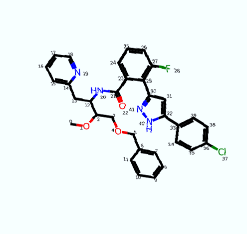 COC(COCc1ccccc1)C(Cc1ccccn1)NC(=O)c1cccc(F)c1-c1cc(-c2ccc(Cl)cc2)[nH]n1